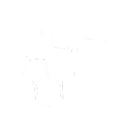 CC(N[S+]([O-])C(C)(C)C)c1ncn2ccc(Cl)c(F)c12